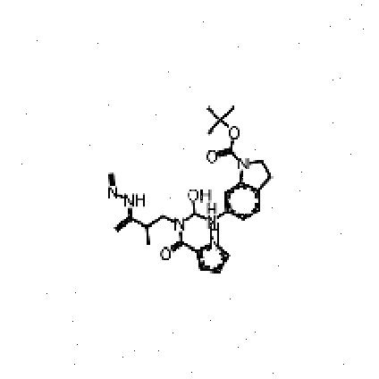 C=NNC(=C)C(C)CN(C(=O)c1ccc[nH]1)C(O)Nc1ccc2c(c1)N(C(=O)OC(C)(C)C)CC2